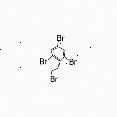 BrCCc1c(Br)cc(Br)cc1Br